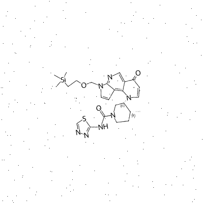 C[C@@H]1CCN(C(=O)Nc2nncs2)C[C@@H]1n1ccc(=O)c2cnc3c(ccn3COCC[Si](C)(C)C)c21